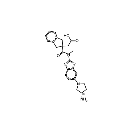 CN(C(=O)C1(CC(=O)O)Cc2ccccc2C1)c1nc2ccc(N3CC[C@H](N)C3)cc2s1